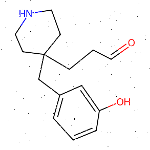 O=CCCC1(Cc2cccc(O)c2)CCNCC1